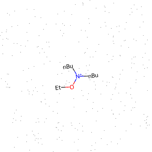 CCCC[N+](CCCC)OCC